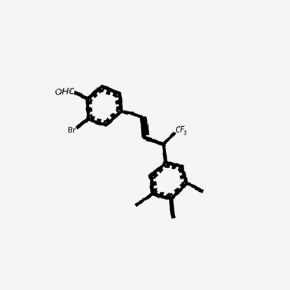 Cc1cc(C(/C=C/c2ccc(C=O)c(Br)c2)C(F)(F)F)cc(C)c1C